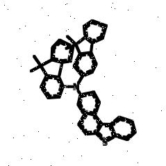 CC1(C)c2ccccc2-c2ccc(N(c3ccc4c(ccc5sc6ccccc6c54)c3)c3cccc4c3-c3ccccc3C4(C)C)cc21